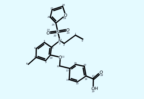 CCCN(c1ccc(C)cc1OCc1ccc(C(=O)O)cc1)S(=O)(=O)c1ccco1